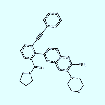 Nc1nc2ccc(-c3c(C#Cc4ccccc4)cccc3C(=O)N3CCCC3)cc2cc1N1CCOCC1